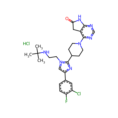 CC(C)(C)NCCn1cc(-c2ccc(F)c(Cl)c2)nc1C1CCN(c2ncnc3c2CC(=O)N3)CC1.Cl